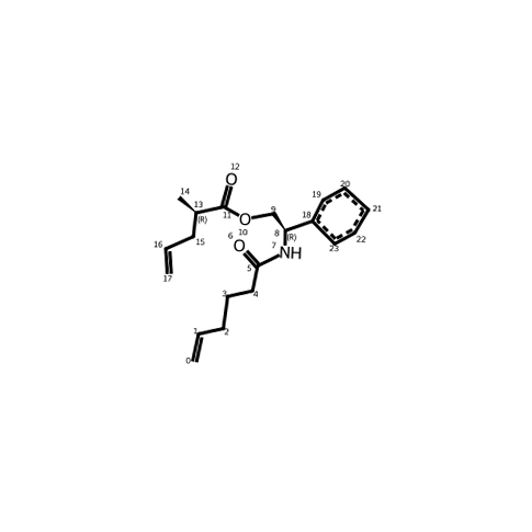 C=CCCCC(=O)N[C@@H](COC(=O)[C@H](C)CC=C)c1ccccc1